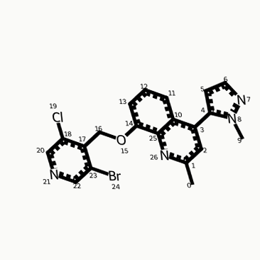 Cc1cc(-c2ccnn2C)c2cccc(OCc3c(Cl)cncc3Br)c2n1